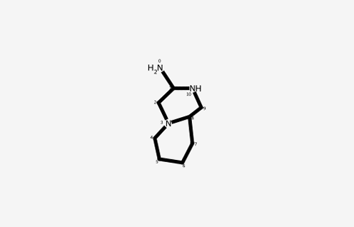 NC1CN2CCCCC2CN1